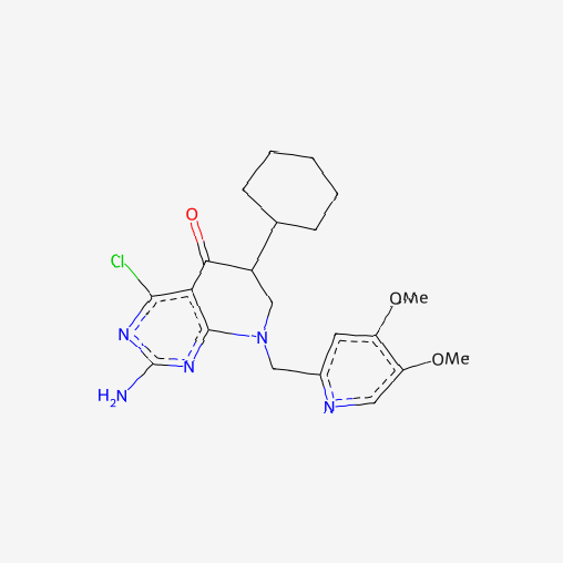 COc1cnc(CN2CC(C3CCCCC3)C(=O)c3c(Cl)nc(N)nc32)cc1OC